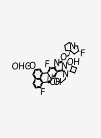 C#Cc1c(F)ccc2cc(OC=O)cc(-c3nc4c5c(nc(OC[C@@]67CCCN6C[C@H](F)C7)nc5c3F)N([C@H]3CC[C@@H]3O)CCO4)c12